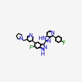 Fc1ccc(-c2nccc3[nH]c(-c4n[nH]c5cc(F)c(-c6cncc(CN7CCCC7)c6)cc45)nc23)cc1